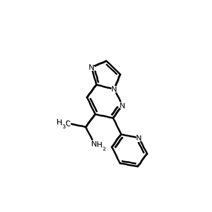 CC(N)c1cc2nccn2nc1-c1ccccn1